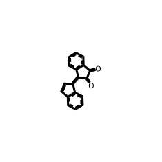 O=C1C(=O)c2ccccc2C1=C1C=Cc2ccccc21